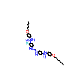 CCCCCCCOc1ccc(N(C)Nc2ccc(NCNc3ccc(NNc4ccc(OCCCCCC)cc4)c(F)c3)cc2)cc1